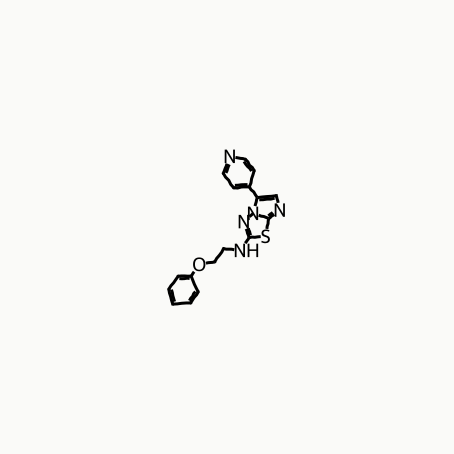 c1ccc(OCCNc2nn3c(-c4ccncc4)cnc3s2)cc1